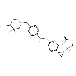 CC1CCN(Cc2ccc([C@H](C)Nc3nccc(N4C(=O)OC[C@]4(C)C4CC4)n3)cc2)CC1(F)F